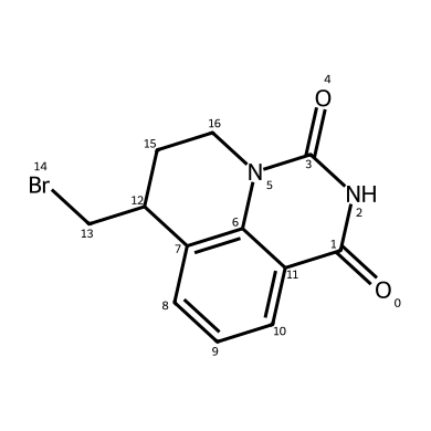 O=c1[nH]c(=O)n2c3c(cccc13)C(CBr)CC2